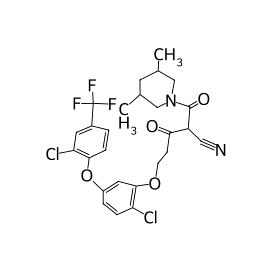 CC1CC(C)CN(C(=O)C(C#N)C(=O)CCOc2cc(Oc3ccc(C(F)(F)F)cc3Cl)ccc2Cl)C1